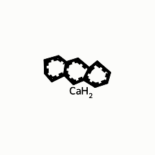 [CaH2].c1ccc2cc3ccccc3cc2c1